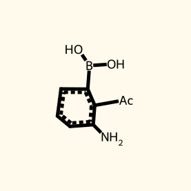 CC(=O)c1c(N)cccc1B(O)O